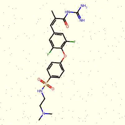 CC(=Cc1cc(F)c(Oc2ccc(S(=O)(=O)NCCN(C)C)cc2)c(F)c1)C(=O)NC(=N)N